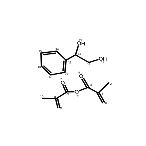 C=C(C)C(=O)OC(=O)C(=C)C.OCC(O)c1ccccc1